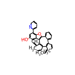 C\C=C/C1=C(\C=C/C)c2ccccc2-c2oc3c(-c4ccccn4)cc(O)cc3c2C(/C=C\C)=C1/C=C\C